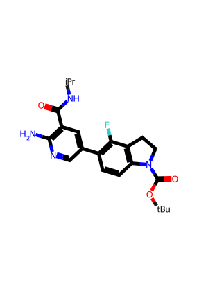 CC(C)NC(=O)c1cc(-c2ccc3c(c2F)CCN3C(=O)OC(C)(C)C)cnc1N